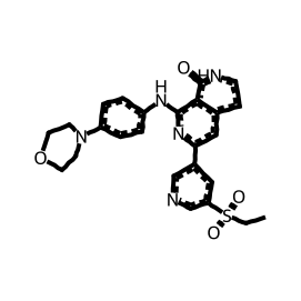 CCS(=O)(=O)c1cncc(-c2cc3cc[nH]c(=O)c3c(Nc3ccc(N4CCOCC4)cc3)n2)c1